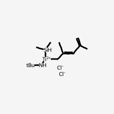 C=C(C)/C=C(\C)[CH2][Ti+2]([NH]C(C)(C)C)[SiH](C)C.[Cl-].[Cl-]